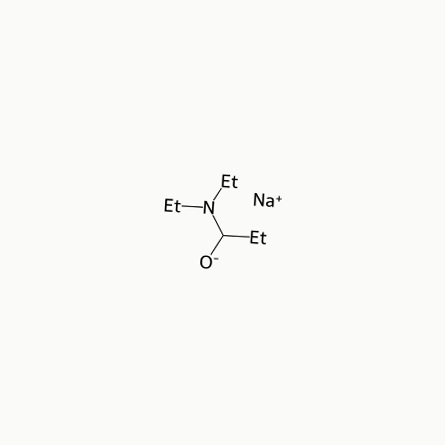 CCC([O-])N(CC)CC.[Na+]